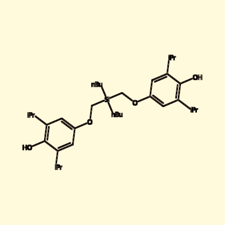 CCCC[Si](CCCC)(COc1cc(C(C)C)c(O)c(C(C)C)c1)COc1cc(C(C)C)c(O)c(C(C)C)c1